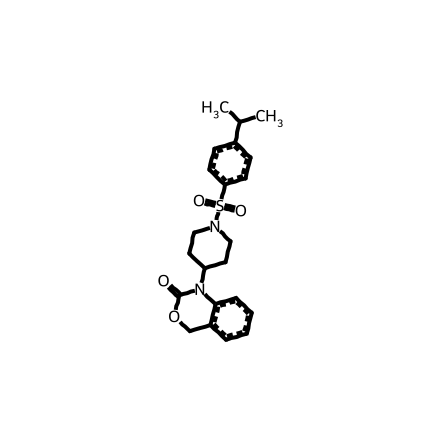 CC(C)c1ccc(S(=O)(=O)N2CCC(N3C(=O)OCc4ccccc43)CC2)cc1